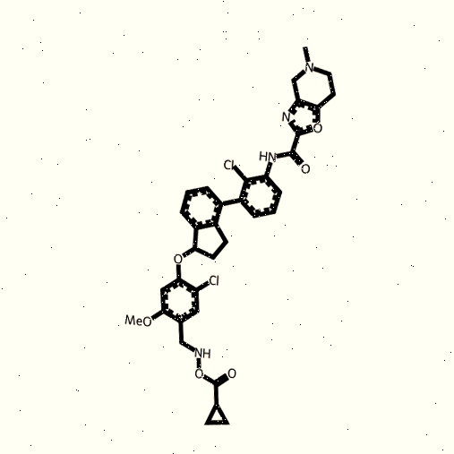 COc1cc(OC2CCc3c(-c4cccc(NC(=O)c5nc6c(o5)CCN(C)C6)c4Cl)cccc32)c(Cl)cc1CNOC(=O)C1CC1